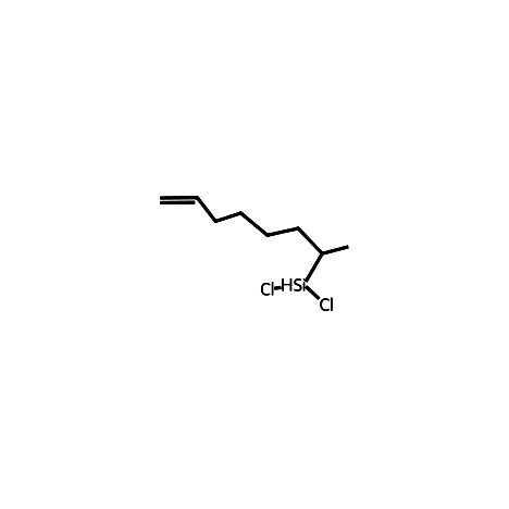 C=CCCCCC(C)[SiH](Cl)Cl